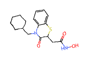 O=C(CC1Sc2ccccc2N(CC2CCCCC2)C1=O)NO